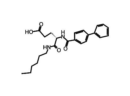 CCCCCCNC(=O)[C@H](CCC(=O)O)NC(=O)c1ccc(-c2ccccc2)cc1